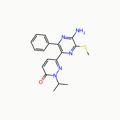 CSc1nc(-c2ccc(=O)n(C(C)C)n2)c(-c2ccccc2)nc1N